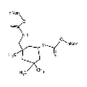 CCCCCCCCCOC(=S)NCC1(C)CC(NC(=S)OCCCCCCCCC)CC(C)(C)C1